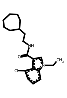 CCn1cc(C(=O)NCCC2CCCCCC2)c2c(Cl)cccc21